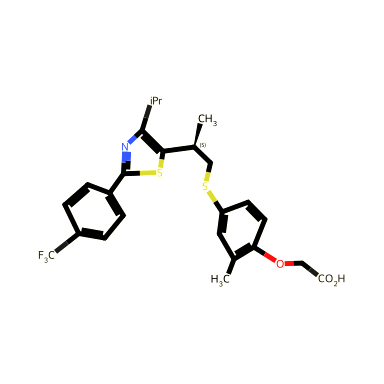 Cc1cc(SC[C@H](C)c2sc(-c3ccc(C(F)(F)F)cc3)nc2C(C)C)ccc1OCC(=O)O